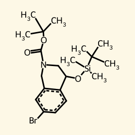 CC(C)(C)OC(=O)N1Cc2cc(Br)ccc2C(O[Si](C)(C)C(C)(C)C)C1